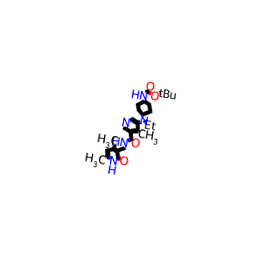 CCN(c1cncc(C(=O)NCc2c(C)cc(C)[nH]c2=O)c1C)C1CCC(NC(=O)OC(C)(C)C)CC1